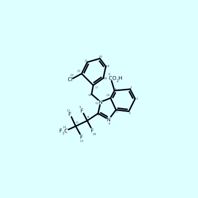 O=C(O)c1cccc2nc(C(F)(F)C(F)(F)C(F)(F)F)n(Cc3ccccc3Cl)c12